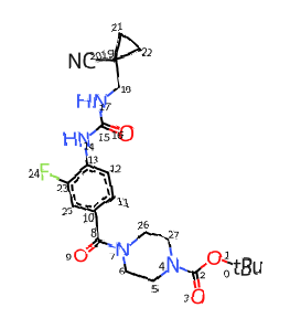 CC(C)(C)OC(=O)N1CCN(C(=O)c2ccc(NC(=O)NCC3(C#N)CC3)c(F)c2)CC1